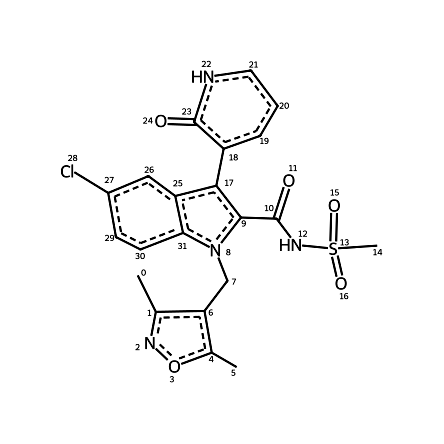 Cc1noc(C)c1Cn1c(C(=O)NS(C)(=O)=O)c(-c2ccc[nH]c2=O)c2cc(Cl)ccc21